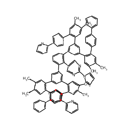 Cc1cc(-c2ccc(-c3ccccn3)cc2)c(-c2cc(-c3cc(C)c(C)cc3-c3ccc(-c4ccccn4)cc3)cc(-c3cccc(-c4cc(-c5cc(C)c(C)cc5-c5ccc(-c6ccccn6)cc5)cc(-c5cc(C)c(C)cc5-c5ccc(-c6ccccc6)nc5)c4)c3-c3cnc(-n4cccc4)nc3)c2)cc1C